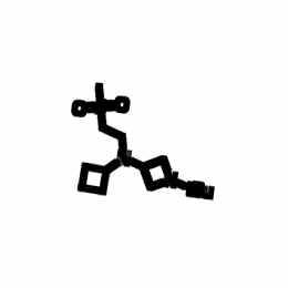 CC(C)(C)N1CC(N(CCS(C)(=O)=O)C2CCC2)C1